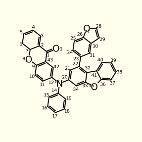 O=C1C2=CC=CCC2Oc2ccc(N(c3ccccc3)c3cc(-c4ccc5occc5c4)c4c(c3)oc3ccccc34)cc21